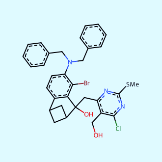 CSc1nc(Cl)c(CO)c(CC2(O)c3c(ccc(N(Cc4ccccc4)Cc4ccccc4)c3Br)C3CC2C3)n1